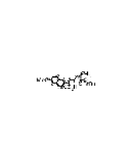 COc1ccc2cc([C@H](CCCN(C)C(=O)OC(C)(C)C)C(=O)O)ccc2c1